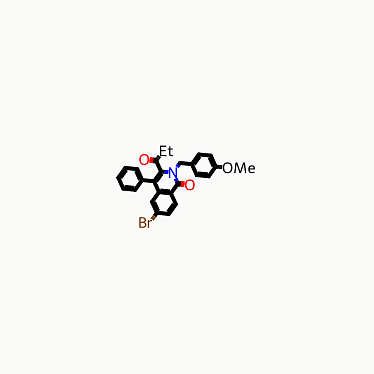 CCC(=O)c1c(-c2ccccc2)c2cc(Br)ccc2c(=O)n1Cc1ccc(OC)cc1